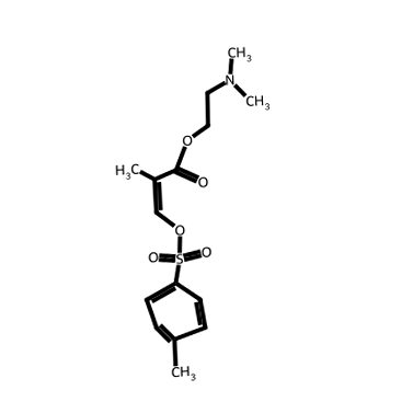 CC(=COS(=O)(=O)c1ccc(C)cc1)C(=O)OCCN(C)C